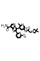 COc1cccc(-c2sc3c(C(N)=O)cnn3c2-c2cc(NC(=O)CN3CC(C)(C)C3)cnc2C)n1